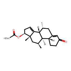 CCCCCCCCCCC(=O)O[C@H]1CC=C2[C@H]3[C@H]([C@@H](C)C[C@@]21C)[C@H]1CCC(=O)C=C1C[C@H]3C